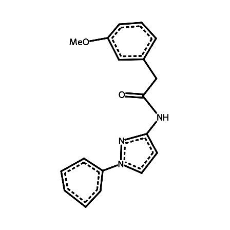 COc1cccc(CC(=O)Nc2ccn(-c3ccccc3)n2)c1